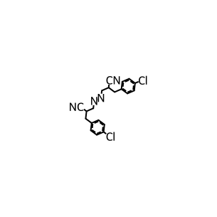 N#CC(CN=NCC(C#N)Cc1ccc(Cl)cc1)Cc1ccc(Cl)cc1